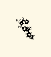 C[C@]1(C(=O)N2CCCC2)C[C@@H](Nc2ncc3c(-c4ccc5nccn5c4)c[nH]c3n2)C1